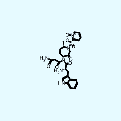 C[C@@H]1CC[C@H](N(C(=O)CC(N)=O)C(=O)[C@@H](N)Cc2c[nH]c3ccccc23)C(=O)CN1S(=O)(=O)c1cccc[n+]1[O-]